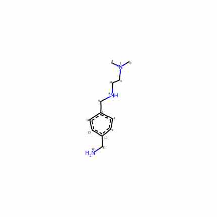 CN(C)CCNCc1ccc(CN)cc1